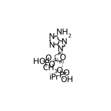 CC(C)P(=O)(O)OC[C@H]1O[C@@H](n2cnc3c(N)ncnc32)C[C@@H]1OP(C)(=O)O